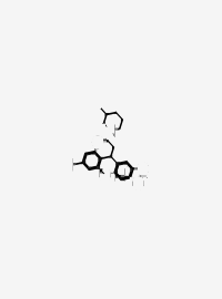 CC1CCCN(C(=O)CC(c2ccc3c(c2)OCO3)c2ccc(I)cc2O)C1